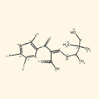 CC(NC=C(C(=O)O)C(=O)c1cc(I)c(F)nc1F)C(C)(C)CO